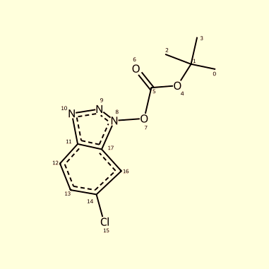 CC(C)(C)OC(=O)On1nnc2ccc(Cl)cc21